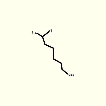 CCCCCCCCCC(S)Cl